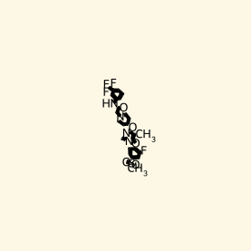 Cc1c(Oc2ccc(S(C)(=O)=O)cc2F)ncnc1OC1CCN(CC(=O)Nc2cccc(C(F)(F)F)c2)CC1